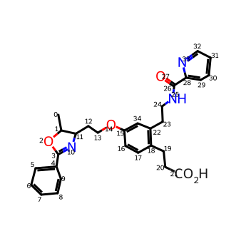 CC1OC(c2ccccc2)=NC1CCOc1ccc(CCC(=O)O)c(CCNC(=O)c2ccccn2)c1